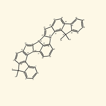 CC1(C)c2ccccc2-c2c1ccc1nc3n(c4cccc5c4n3c3nc4ccc6c(c4n53)C(C)(C)c3ccccc3-6)c21